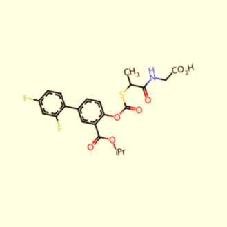 CC(C)OC(=O)c1cc(-c2ccc(F)cc2F)ccc1OC(=O)SC(C)C(=O)NCC(=O)O